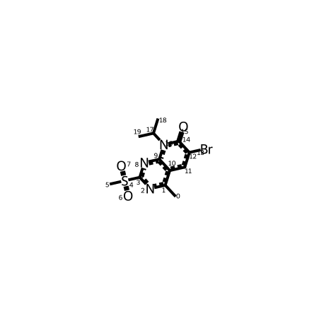 Cc1nc(S(C)(=O)=O)nc2c1cc(Br)c(=O)n2C(C)C